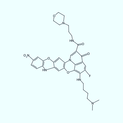 CN(C)CCCCNc1c(F)cc2c(=O)c(C(=O)NCCCN3CCOCC3)cn3c4cc5oc6cc([N+](=O)[O-])ccc6[nH]c5cc4oc1c23